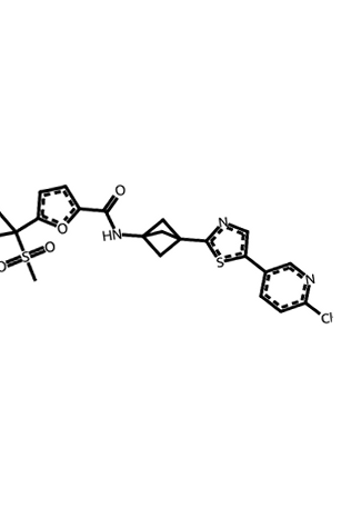 CS(=O)(=O)C1(c2ccc(C(=O)NC34CC(c5ncc(-c6ccc(Cl)nc6)s5)(C3)C4)o2)CC1